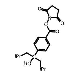 CC(C)C[Si](O)(CC(C)C)c1ccc(C(=O)ON2C(=O)CCC2=O)cc1